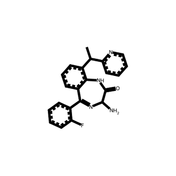 CC(c1ccccn1)c1cccc2c1NC(=O)C(N)N=C2c1ccccc1F